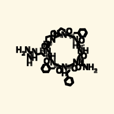 C[C@@H]1NC(=O)[C@H](CC(N)=O)NC(=O)[C@H](CCc2ccccc2)NC(=O)[C@H](Cc2ccccc2)NC(=O)[C@H](CCCNC(=N)N)NC(=O)[C@@H]2CCCN2C(=O)[C@H]2CCCN2C(=O)[C@H](Cc2ccccc2)NC1=O